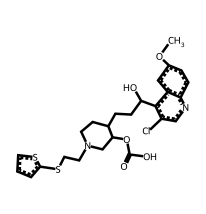 COc1ccc2ncc(Cl)c(C(O)CCC3CCN(CCSc4cccs4)CC3OC(=O)O)c2c1